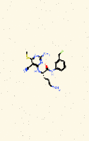 CSc1nc(N)nc(N[C@@H](CCCN)C(=O)Nc2cccc(CF)c2)c1C#N